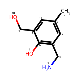 Cc1cc(CN)c(O)c(CO)c1